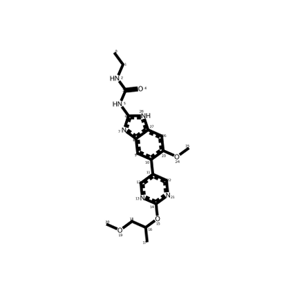 CCNC(=O)Nc1nc2cc(-c3cnc(OC(C)COC)nc3)c(OC)cc2[nH]1